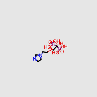 O=P(O)(O)C(O)(COCCN1C=NCC1)P(=O)(O)O